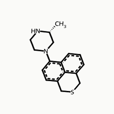 C[C@@H]1CN(c2ccc3c4c(cccc24)CSC3)CCN1